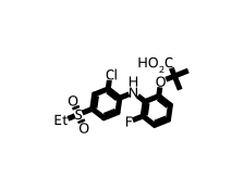 CCS(=O)(=O)c1ccc(Nc2c(F)cccc2OC(C)(C)C(=O)O)c(Cl)c1